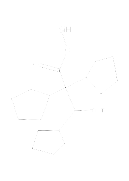 CCCC(C1CCCC1)C(C(=O)O[SiH3])(C1CCCC1)C1CCCC1